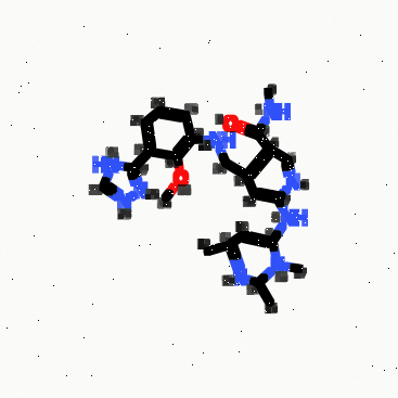 CNC(=O)c1cnc(NC2=CC(C)=NC(C)N2C)cc1CNc1cccc(-c2nnc[nH]2)c1OC